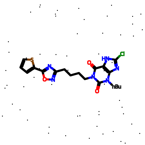 CCCCn1c(=O)n(CCCCc2noc(-c3cccs3)n2)c(=O)c2[nH]c(Cl)nc21